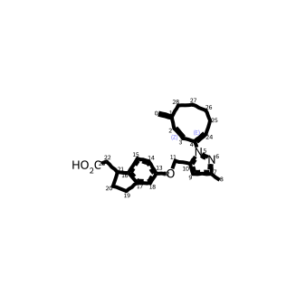 C=C1/C=C\C(n2nc(C)cc2COc2ccc3c(c2)CCC3CC(=O)O)=C/CCCC1